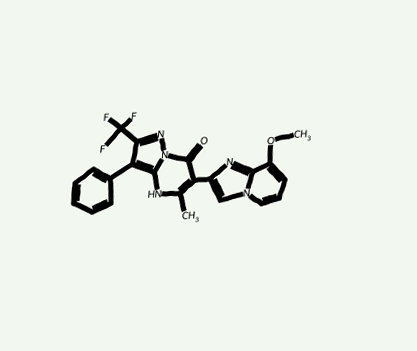 COc1cccn2cc(-c3c(C)[nH]c4c(-c5ccccc5)c(C(F)(F)F)nn4c3=O)nc12